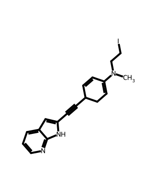 CN(CCI)C1=CCC(C#Cc2cc3cccnc3[nH]2)C=C1